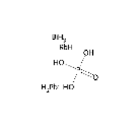 O=P(O)(O)O.[BiH3].[PbH2].[RbH]